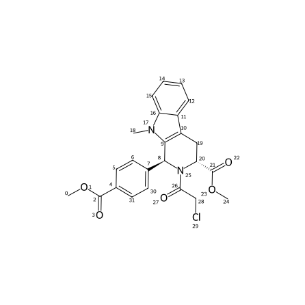 COC(=O)c1ccc([C@H]2c3c(c4ccccc4n3C)C[C@H](C(=O)OC)N2C(=O)CCl)cc1